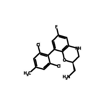 Cc1cc(Cl)c(-c2cc(F)cc3c2O[C@H](CN)CN3)c(Cl)c1